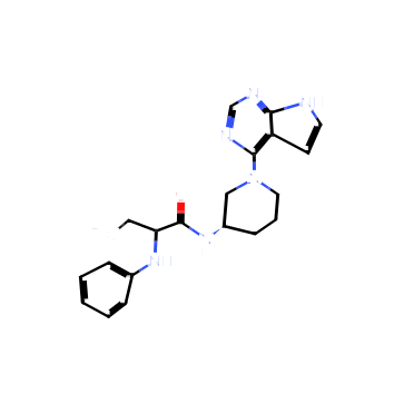 O=C(N[C@@H]1CCCN(c2ncnc3[nH]ccc23)C1)C(CC(F)(F)F)Nc1ccccc1